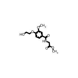 COC(=O)CNC(=O)c1ccc(OCCO)c(OC)c1